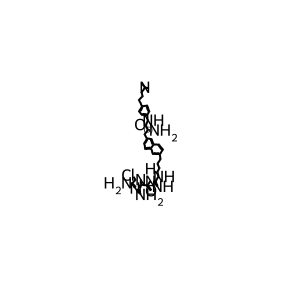 CN(C)CCCc1ccc(NC(=O)[C@@H](N)Cc2ccc3cc(CCCCNC(=N)NC(=O)c4nc(Cl)c(N)nc4N)ccc3c2)cc1